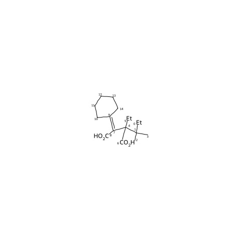 CCC(C)(C)C(CC)(C(=O)O)C(C(=O)O)=C1CCCCC1